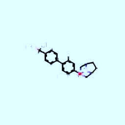 CCc1cc(CN2C3CCC2CN(C(=O)O)C3)ccc1-c1ccc(C(O)(C(F)(F)F)C(F)(F)F)cc1